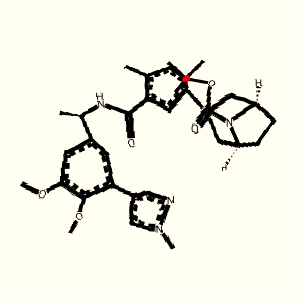 COc1cc([C@@H](C)NC(=O)c2cc(N3C[C@H]4CC[C@@H](C3)N4C(=O)OC(C)(C)C)ccc2C)cc(-c2cnn(C)c2)c1OC